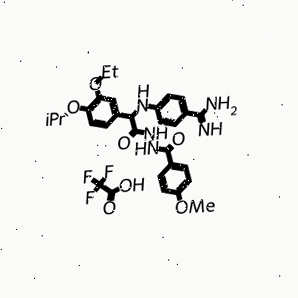 CCOc1cc(C(Nc2ccc(C(=N)N)cc2)C(=O)NNC(=O)c2ccc(OC)cc2)ccc1OC(C)C.O=C(O)C(F)(F)F